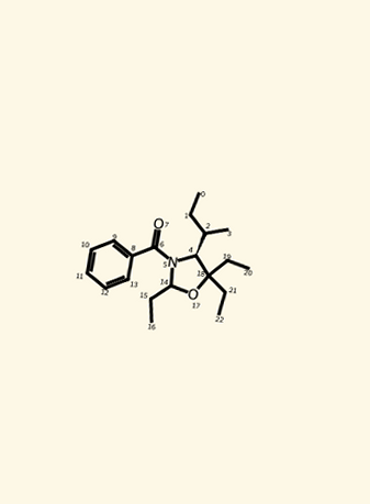 CCC(C)[C@@H]1N(C(=O)c2ccccc2)C(CC)OC1(CC)CC